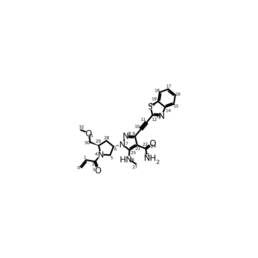 C=CC(=O)N1C[C@@H](n2nc(C#Cc3nc4ccccc4s3)c(C(N)=O)c2NC)C[C@@H]1COC